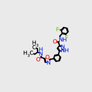 CCC(CC)NC(=O)c1cnc(-c2cccc(-c3cc(C(=O)NCc4c(F)cccc4F)n[nH]3)c2)o1